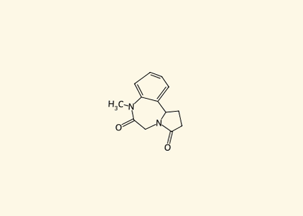 CN1C(=O)CN2C(=O)CCC2c2ccccc21